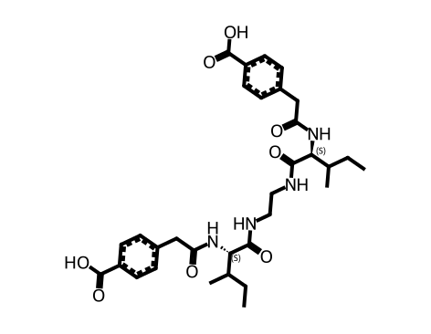 CCC(C)[C@H](NC(=O)Cc1ccc(C(=O)O)cc1)C(=O)NCCNC(=O)[C@@H](NC(=O)Cc1ccc(C(=O)O)cc1)C(C)CC